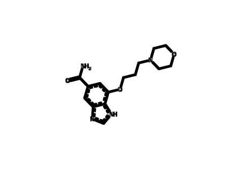 NC(=O)c1cc(OCCCN2CCOCC2)c2[nH]cnc2c1